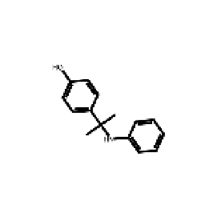 CC(C)(Nc1ccccc1)c1ccc(O)cc1